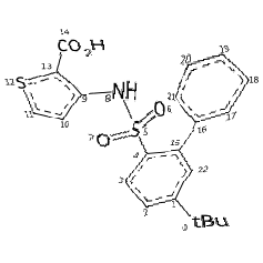 CC(C)(C)c1ccc(S(=O)(=O)Nc2ccsc2C(=O)O)c(-c2ccccc2)c1